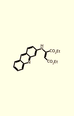 CCOC(=O)C=C(Nc1ccc2cc3ccccc3nc2c1)C(=O)OCC